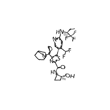 CC[C@H](Nc1cc(C(F)F)c(-c2sc(C(=O)N[C@@H]3CC[C@@H]3O)nc2C(=O)N2C3CCC2CC3)cn1)C(F)(F)F